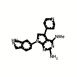 CNc1nc(N)nc2c1c(-c1ccncc1)cn2-c1ccc2cn[nH]c2c1